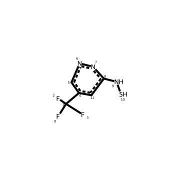 FC(F)(F)c1cnnc(NS)c1